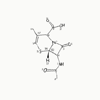 CC(=O)NC1C(=O)N2C(C(=O)O)C(C)=CS[C@@H]12